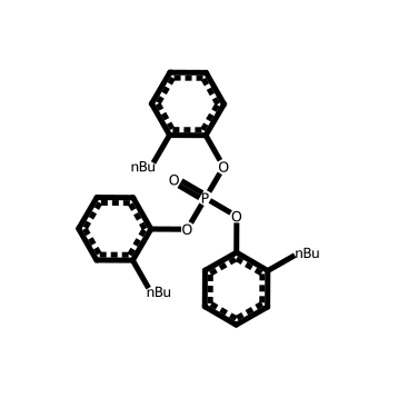 CCCCc1ccccc1OP(=O)(Oc1ccccc1CCCC)Oc1ccccc1CCCC